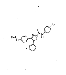 O=C(Nc1ccc(Br)cc1)N1CC(c2ccccc2)C(c2ccc(OC(F)F)cc2)=N1